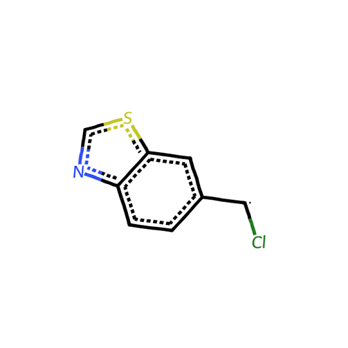 Cl[CH]c1ccc2ncsc2c1